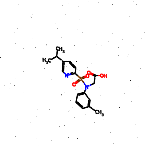 Cc1cccc(N(CC(=O)O)S(=O)(=O)c2ccc(C(C)C)cn2)c1